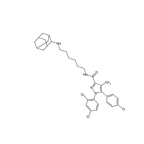 Cc1c(C(=O)NCCCCCCNC2C3CC4CC(C3)CC2C4)nn(-c2ccc(Cl)cc2Cl)c1-c1ccc(Cl)cc1